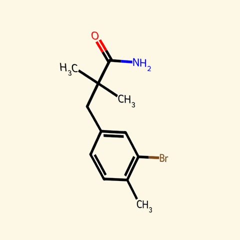 Cc1ccc(CC(C)(C)C(N)=O)cc1Br